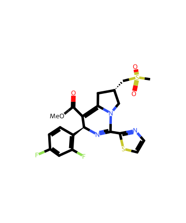 COC(=O)C1=C2C[C@H](CS(C)(=O)=O)CN2C(c2nccs2)=N[C@H]1c1ccc(F)cc1F